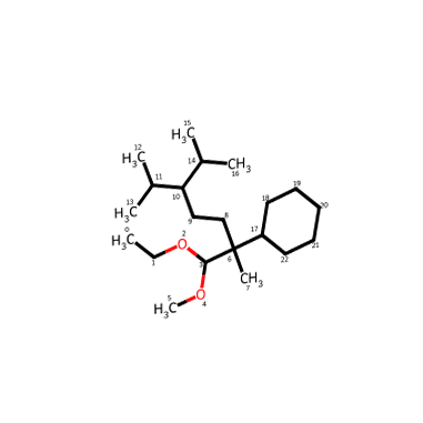 CCOC(OC)C(C)(CCC(C(C)C)C(C)C)C1CCCCC1